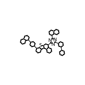 c1ccc(-c2cccc(-c3nc(-c4cccc5ccccc45)nc(-c4cc5sc6c(-c7ccc(-c8cccc9ccccc89)cc7)cccc6c5c5ccccc45)n3)c2)cc1